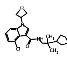 CC(C)(CNC(=O)c1cn(C2COC2)c2cccc(Cl)c12)C1CCCC1